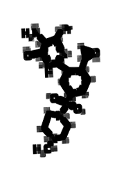 CC(C)c1nc(-c2cc(S(=O)(=O)N3CCN(C)CC3)ccc2C2CO2)[nH]c(=O)c1N